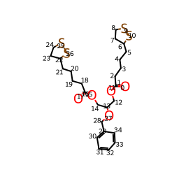 O=C(CCCCC1CCSS1)OCC(COC(=O)CCCCC1CCSS1)OCc1ccccc1